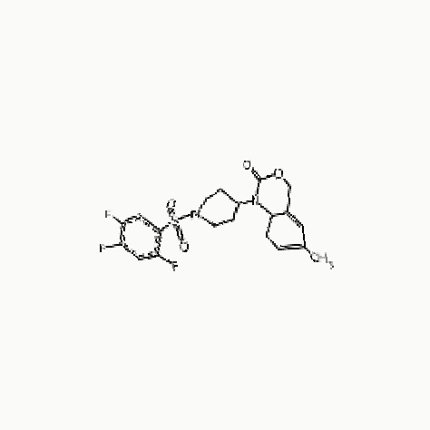 CC1=CCC2C(=C1)COC(=O)N2C1CCN(S(=O)(=O)c2cc(F)c(F)cc2F)CC1